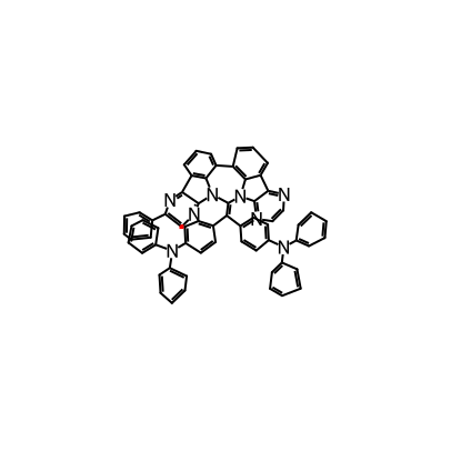 c1ccc(-c2cnc3c(n2)c2cccc4c5cccc6c7nccnc7n(c(=C(c7ccc(N(c8ccccc8)c8ccccc8)cc7)c7ccc(N(c8ccccc8)c8ccccc8)cc7)n3c42)c56)cc1